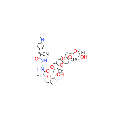 CC[C@@H](C(=O)[C@@H](C)[C@@H](O)[C@H](C)[C@@H]1O[C@@H]([C@@H](CC)C(=O)NCCNC(=O)/C(C#N)=C/c2ccc(N(C)C)cc2)CC[C@@H]1C)[C@H]1O[C@]2(C=C[C@@H](OC(C)=O)[C@]3(CC[C@@](C)([C@H]4CC[C@](O)(CC)[C@H](C)O4)O3)O2)[C@H](C)C[C@@H]1C